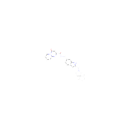 O=C(NCc1ccc2cc(CN3CCC4(CCCC4)C3)[nH]c2c1)c1cc(=O)n2ccccc2n1